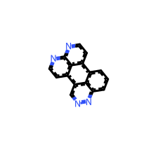 c1cc2nncc3c4ccnc5nccc(c(c1)c23)c54